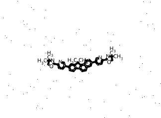 CC1(C)COC(c2ccc(-c3ccc4c(c3)C(C)(C)c3c-4ccc4cc(-c5ccc(C6=NC(C)(C)CO6)nc5)ccc34)cn2)=N1